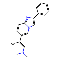 CC(=O)C(=CN(C)C)c1ccc2nc(-c3ccccc3)cn2c1